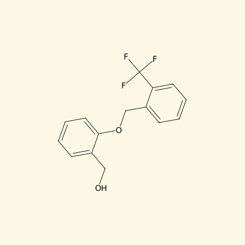 OCc1ccccc1OCc1ccccc1C(F)(F)F